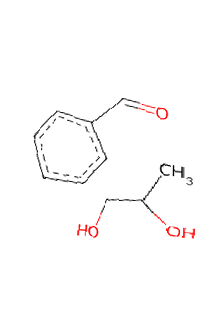 CC(O)CO.O=Cc1ccccc1